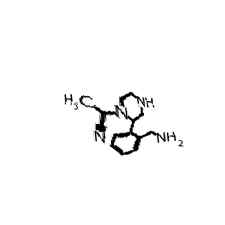 CC(C#N)N1CCNCC1c1ccccc1CN